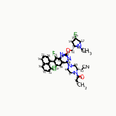 C=CC(=O)N1CCN(c2nc(OC[C@@H]3C[C@@H](F)CN3C)nc3c(F)c(-c4cccc5cccc(Cl)c45)c(Cl)cc23)C[C@@H]1CC#N